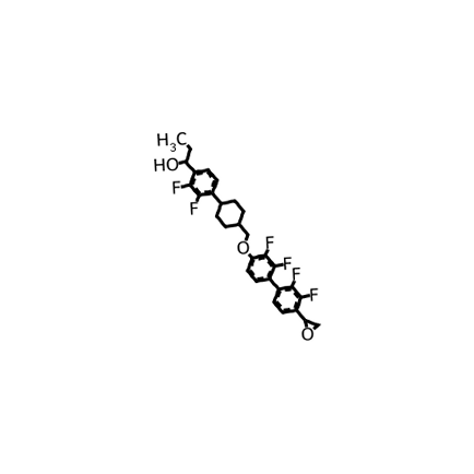 CCC(O)c1ccc(C2CCC(COc3ccc(-c4ccc(C5CO5)c(F)c4F)c(F)c3F)CC2)c(F)c1F